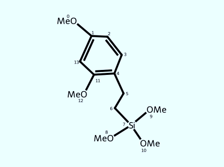 COc1ccc(CC[Si](OC)(OC)OC)c(OC)c1